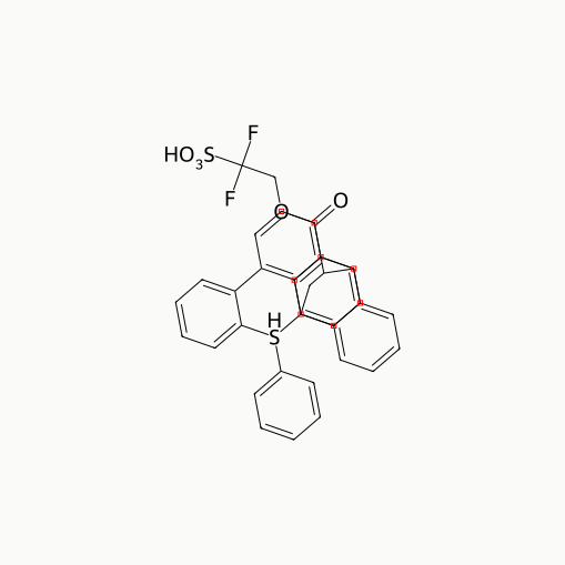 O=C(OCC(F)(F)S(=O)(=O)O)C1CC2c3ccccc3C1c1cccc(-c3ccccc3[SH](c3ccccc3)c3ccccc3)c12